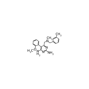 COc1ccccc1-c1c(N)nc(N)nc1CN(C)Cc1cccc(C)c1